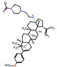 C=C(C)[C@@H]1CC[C@]2(NCCN3CCN(C(=O)CC)CC3)CC[C@]3(C)[C@H](CC[C@@H]4[C@@]5(C)CC=C(c6ccc(OC=O)cc6)C(C)(C)[C@@H]5CC[C@]43C)[C@@H]12